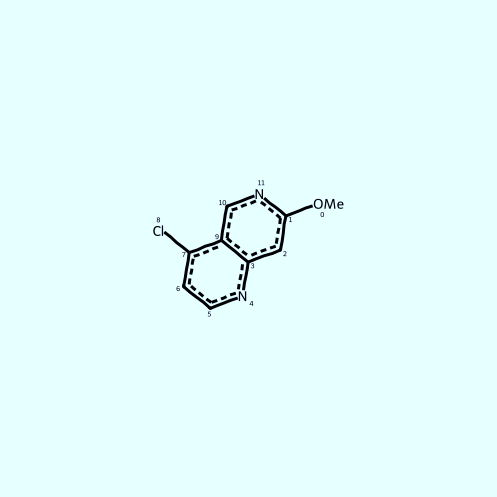 COc1cc2nccc(Cl)c2cn1